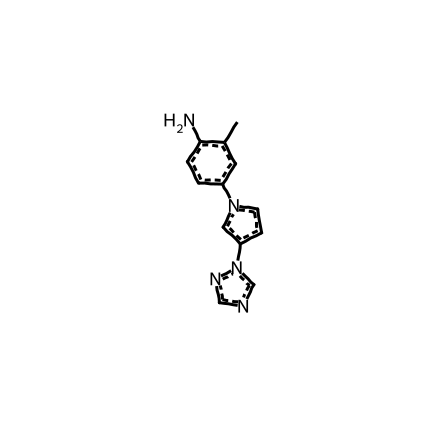 Cc1cc(-n2ccc(-n3cncn3)c2)ccc1N